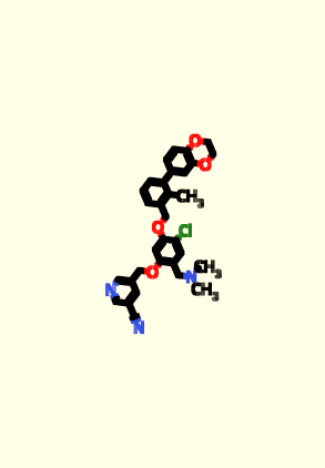 Cc1c(COc2cc(OCc3cncc(C#N)c3)c(CN(C)C)cc2Cl)cccc1-c1ccc2c(c1)OCCO2